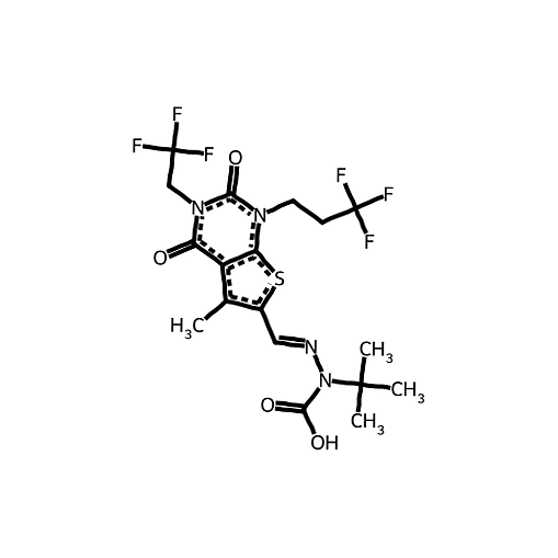 Cc1c(/C=N/N(C(=O)O)C(C)(C)C)sc2c1c(=O)n(CC(F)(F)F)c(=O)n2CCC(F)(F)F